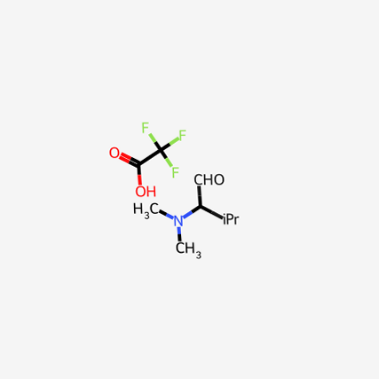 CC(C)C(C=O)N(C)C.O=C(O)C(F)(F)F